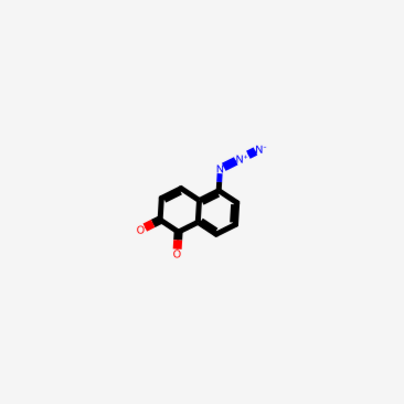 [N-]=[N+]=Nc1cccc2c1C=CC(=O)C2=O